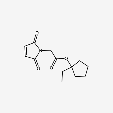 CCC1(OC(=O)CN2C(=O)C=CC2=O)CCCC1